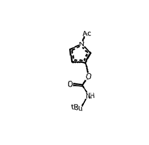 CC(=O)n1ccc(OC(=O)NC(C)(C)C)c1